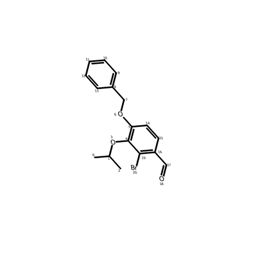 CC(C)Oc1c(OCc2ccccc2)ccc(C=O)c1Br